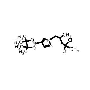 CC(Cn1cc(B2OC(C)(C)C(C)(C)O2)cn1)CC(C)(Cl)Cl